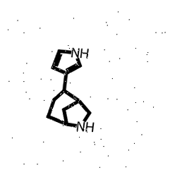 c1cc(C2CCC3CC2CN3)c[nH]1